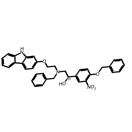 O=[N+]([O-])c1cc([C@@H](O)CN(CCOc2ccc3c(c2)[nH]c2ccccc23)Cc2ccccc2)ccc1OCc1ccccc1